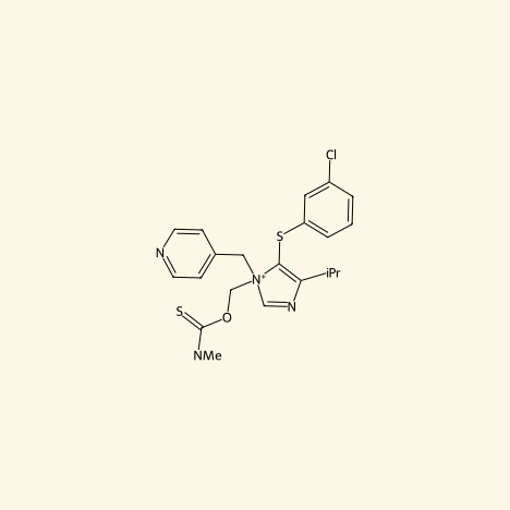 CNC(=S)OC[N+]1(Cc2ccncc2)C=NC(C(C)C)=C1Sc1cccc(Cl)c1